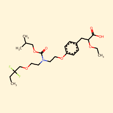 CCOC(Cc1ccc(OCCN(CCOCC(F)(F)CC)C(=O)OCC(C)C)cc1)C(=O)O